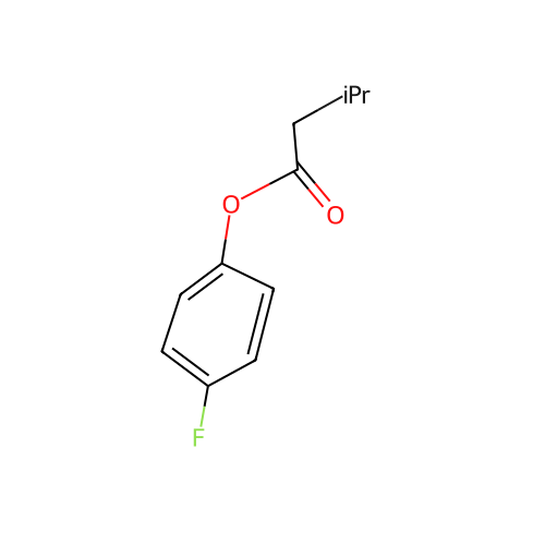 CC(C)CC(=O)Oc1ccc(F)cc1